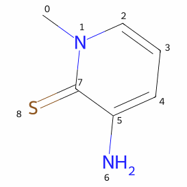 Cn1cccc(N)c1=S